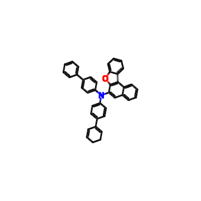 C1=CC(c2ccc(N(c3ccc(-c4ccccc4)cc3)c3cc4ccccc4c4c3oc3ccccc34)cc2)=CCC1